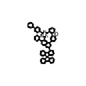 c1ccc(-c2ccc(-c3nc(-c4ccccc4-c4ccccc4)nc(-c4cccc5oc6ccc(-c7cccc(-c8cccc9c8-c8ccccc8C98c9ccccc9-c9ccccc98)c7)cc6c45)n3)cc2)cc1